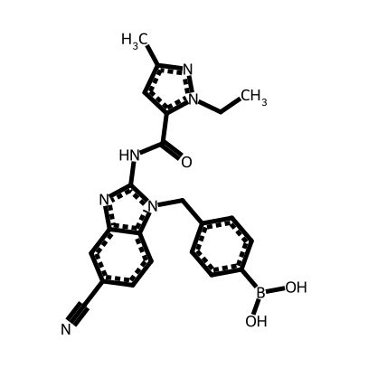 CCn1nc(C)cc1C(=O)Nc1nc2cc(C#N)ccc2n1Cc1ccc(B(O)O)cc1